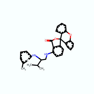 Cc1cccc(NC(CNc2cccc3c2C(=O)OC32c3ccccc3Oc3ccccc32)C(C)C)c1